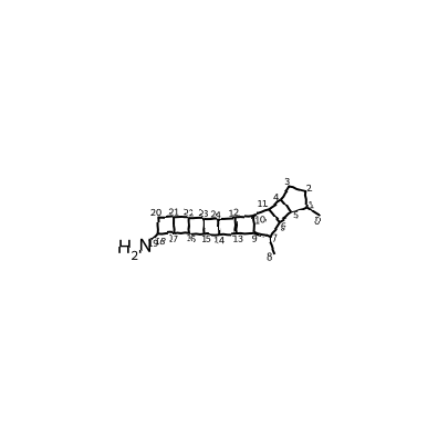 CC1CCC2C1C1C(C)C3C(C21)C1C3C2C3C4C5C(N)CC5C4C3C12